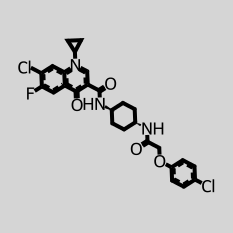 O=C(COc1ccc(Cl)cc1)N[C@H]1CC[C@H](NC(=O)c2cn(C3CC3)c3cc(Cl)c(F)cc3c2=O)CC1